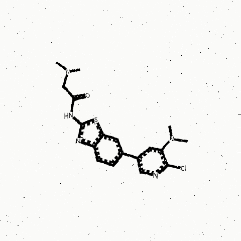 CN(C)CC(=O)Nc1nc2ccc(-c3cnc(Cl)c(N(C)C)c3)cc2s1